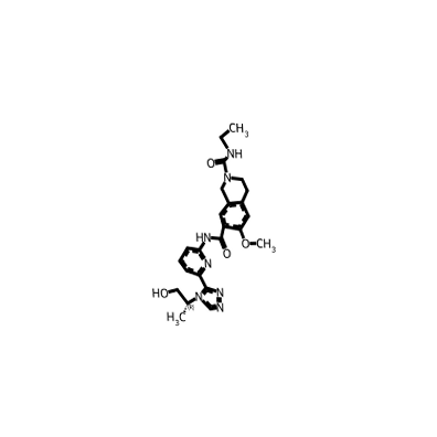 CCNC(=O)N1CCc2cc(OC)c(C(=O)Nc3cccc(-c4nncn4[C@H](C)CO)n3)cc2C1